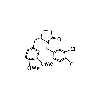 COc1ccc(C[C@@H]2CCC(=O)N2Cc2ccc(Cl)c(Cl)c2)cc1OC